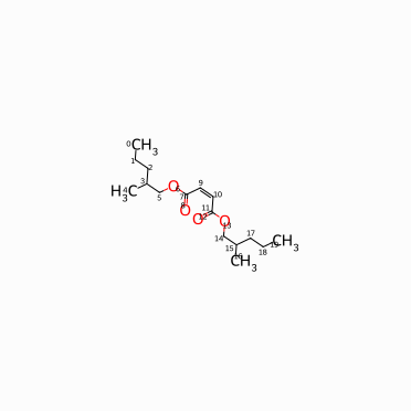 CCCC(C)COC(=O)/C=C\C(=O)OCC(C)CCC